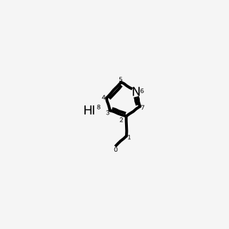 CCc1cccnc1.I